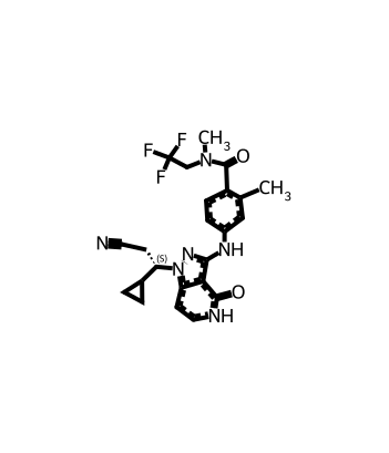 Cc1cc(Nc2nn([C@@H](CC#N)C3CC3)c3cc[nH]c(=O)c23)ccc1C(=O)N(C)CC(F)(F)F